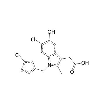 Cc1c(CC(=O)O)c2cc(O)c(Cl)cc2n1Cc1csc(Cl)c1